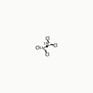 Cl[13C](Cl)=[13C](Cl)Cl